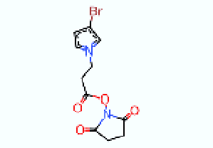 O=C(CCn1ccc(Br)c1)ON1C(=O)CCC1=O